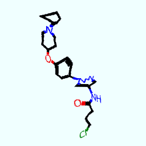 O=C(CCCCl)Nc1cnn(-c2ccc(OC3CCN(C4CCC4)CC3)cc2)c1